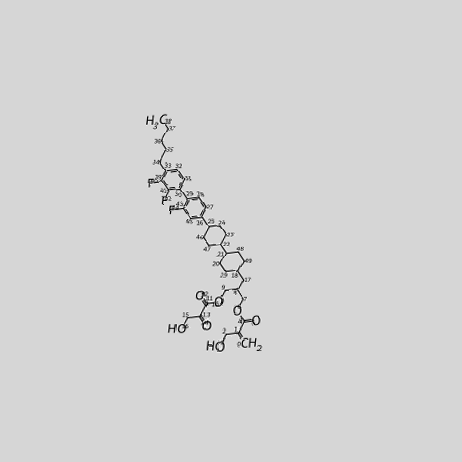 C=C(CO)C(=O)OCC(COC(=O)C(=O)CO)CC1CCC(C2CCC(c3ccc(-c4ccc(CCCCC)c(F)c4F)c(F)c3)CC2)CC1